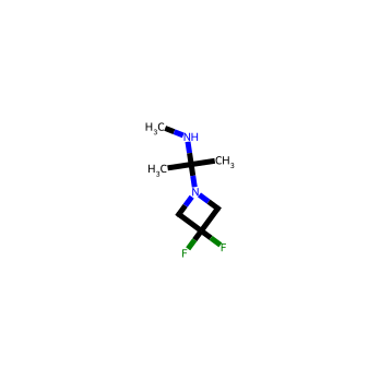 CNC(C)(C)N1CC(F)(F)C1